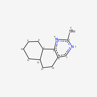 CC(C)(C)c1ncc2c(n1)C1CCCCC1CC2